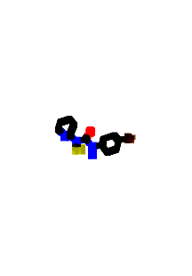 O=C(Nc1ccc(Br)cc1)N(S)c1ccccn1